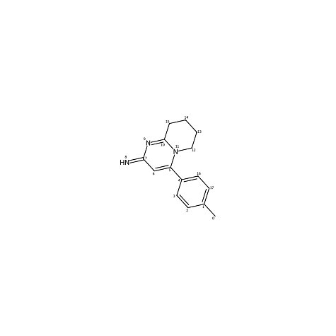 Cc1ccc(-c2cc(=N)nc3n2CCCC3)cc1